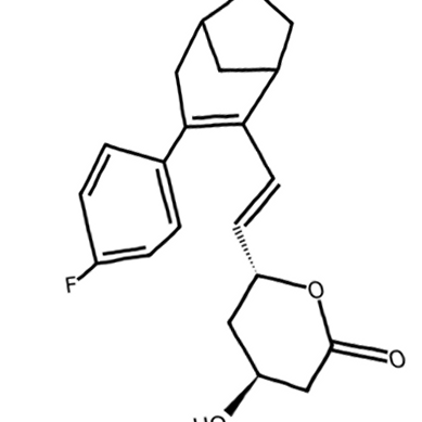 O=C1C[C@@H](O)C[C@H](C=CC2=C(c3ccc(F)cc3)CC3CCC2C3)O1